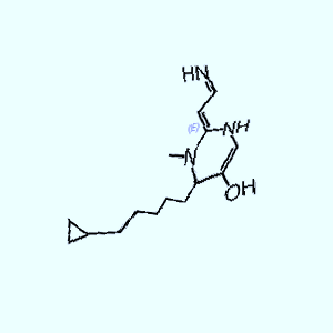 CN1/C(=C/C=N)NC=C(O)C1CCCCCC1CC1